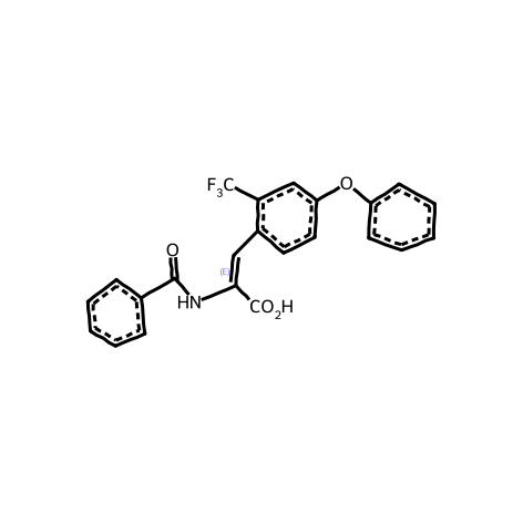 O=C(O)/C(=C\c1ccc(Oc2ccccc2)cc1C(F)(F)F)NC(=O)c1ccccc1